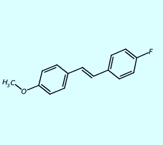 COc1ccc(C=Cc2ccc(F)cc2)cc1